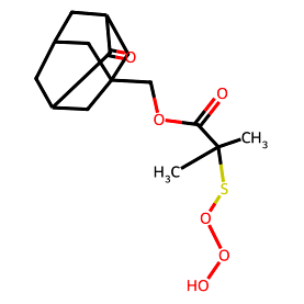 CC(C)(SOOO)C(=O)OCC12CC3CC(C1)C(=O)C(C3)C2